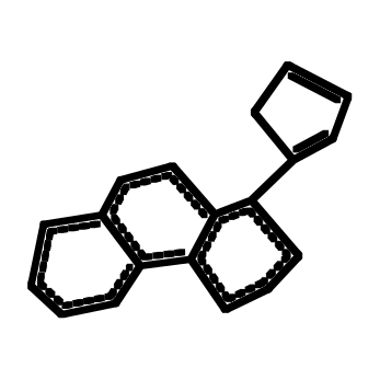 C1=CCC(c2cccc3c2ccc2ccccc23)=C1